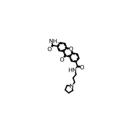 NC(=O)c1ccc2oc3ccc(C(=O)NCCCN4CCCC4)cc3c(=O)c2c1